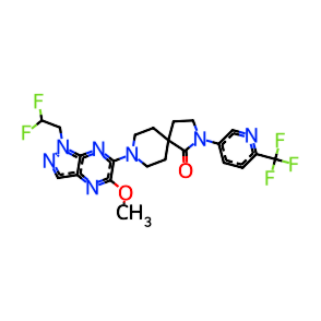 COc1nc2cnn(CC(F)F)c2nc1N1CCC2(CC1)CCN(c1ccc(C(F)(F)F)nc1)C2=O